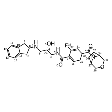 O=C(NC[C@@H](O)CNC1Cc2ccccc2C1)C1=CCC(C(=O)N2C3CCC2COC3)C=C1F